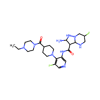 CCN1CCN(C(=O)C2CCN(c3c(F)cncc3NC(=O)C3C(N)NN4CC(F)CNC34)CC2)CC1